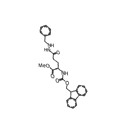 COC(=O)C(CCC(=O)NNCc1ccccc1)NC(=O)OCC1c2ccccc2-c2ccccc21